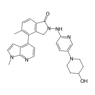 Cc1ccc2c(c1-c1ccnc3c1ccn3C)CN(Nc1ccc(N3CCC(O)CC3)cn1)C2=O